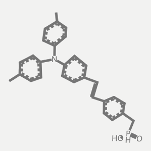 Cc1ccc(N(c2ccc(C)cc2)c2ccc(C=Cc3ccc(C[PH](=O)O)cc3)cc2)cc1